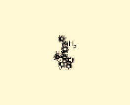 CC1C=CC2=C(C1)C(c1ccccc1)(c1ccccc1)c1ccc(Nc3cccc(C[C@@H](N)c4ccccc4)c3)c(-c3ccccc3)c12